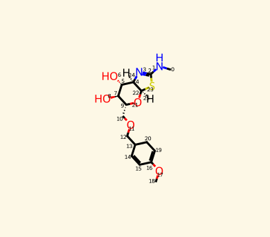 CNC1=N[C@@H]2[C@@H](O)[C@H](O)[C@@H](COCC3C=CC(OC)=CC3)O[C@@H]2S1